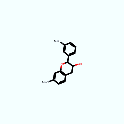 COc1cccc(C2Oc3cc(OC)ccc3CC2O)c1